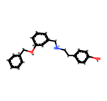 Oc1ccc(CCNCc2cccc(OCc3ccccc3)c2)cc1